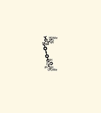 COC(=O)N[C@H](C(=O)N1CCC[C@H]1c1ncc(-c2ccc(C#Cc3ccc(-c4cnc([C@@H]5CC(=C(C)C)CN5C(=O)[C@@H](NC(=O)OC)C(C)C)[nH]4)cc3)cc2)[nH]1)C(C)C